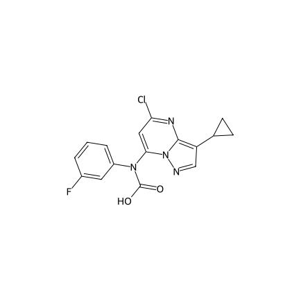 O=C(O)N(c1cccc(F)c1)c1cc(Cl)nc2c(C3CC3)cnn12